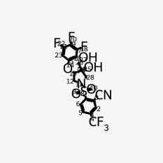 N#Cc1cc(C(F)(F)F)ccc1S(=O)(=O)N1CC(Oc2cc(F)c(F)c(F)c2)[C@](O)(CO)C1